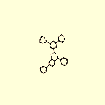 c1ccc(C2=NC(c3cc(-c4ccncc4)cc(-c4ncccn4)c3)Nc3cc(-c4ccccc4)ccc32)cc1